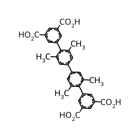 Cc1cc(-c2cc(C)c(-c3cc(C(=O)O)cc(C(=O)O)c3)c(C)c2)cc(C)c1-c1cc(C(=O)O)cc(C(=O)O)c1